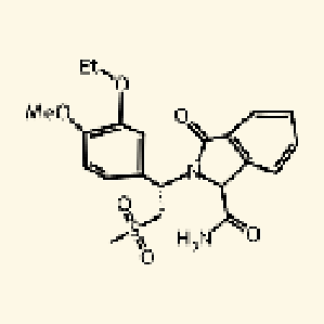 CCOc1cc([C@@H](CS(C)(=O)=O)N2C(=O)c3[c]cccc3C2C(N)=O)ccc1OC